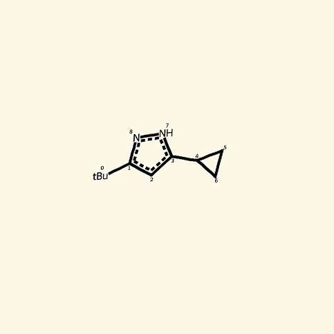 CC(C)(C)c1cc(C2CC2)[nH]n1